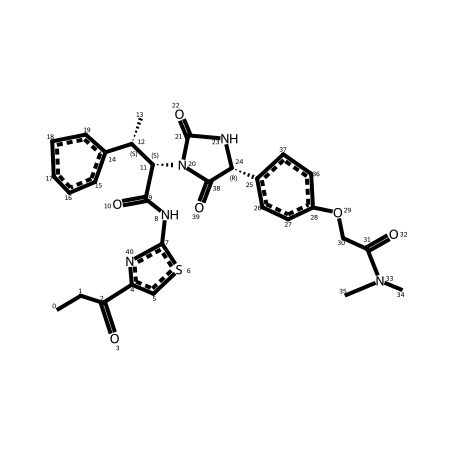 CCC(=O)c1csc(NC(=O)[C@H]([C@@H](C)c2ccccc2)N2C(=O)N[C@H](c3ccc(OCC(=O)N(C)C)cc3)C2=O)n1